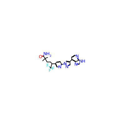 CC(C)(CCC(c1ccc(-n2cc(-c3ccnc4[nH]cnc34)cn2)nc1)C(F)(F)F)C(N)=O